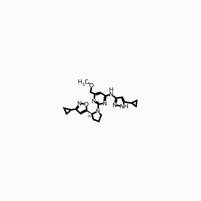 COCc1cc(Nc2cc(C3CC3)[nH]n2)nc(N2CCC[C@H]2c2cc(C3CC3)no2)n1